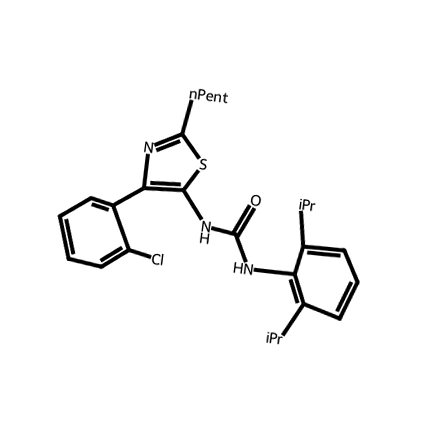 CCCCCc1nc(-c2ccccc2Cl)c(NC(=O)Nc2c(C(C)C)cccc2C(C)C)s1